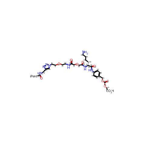 CCCC(C)C(=O)NCc1cn(CCOCCNC(=O)COCC(=O)N[C@H](CCCCN)C(=O)Nc2ccc(COC(=O)OCC(=O)O)cc2)nn1